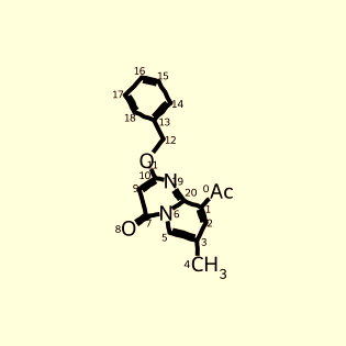 CC(=O)c1cc(C)cn2c(=O)cc(OCc3ccccc3)nc12